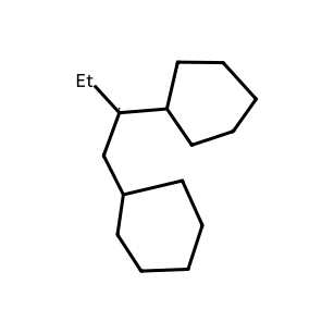 CC[C](CC1CCCCC1)C1CCCCC1